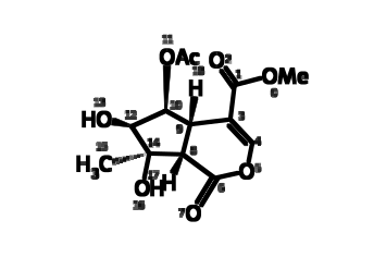 COC(=O)C1=COC(=O)[C@H]2[C@@H]1[C@H](OC(C)=O)[C@H](O)[C@]2(C)O